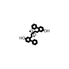 COC(CCc1cc(O)ccc1-c1ccccc1)(CCc1cc(O)ccc1-c1ccccc1)OC